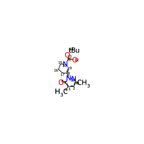 Cc1cc(C)c(=O)n(C2=CN(C(=O)OC(C)(C)C)CCC2)n1